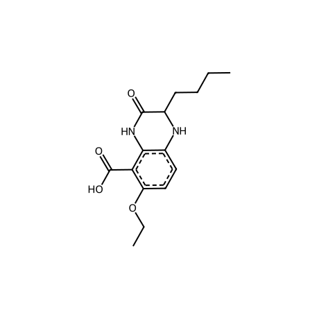 CCCCC1Nc2ccc(OCC)c(C(=O)O)c2NC1=O